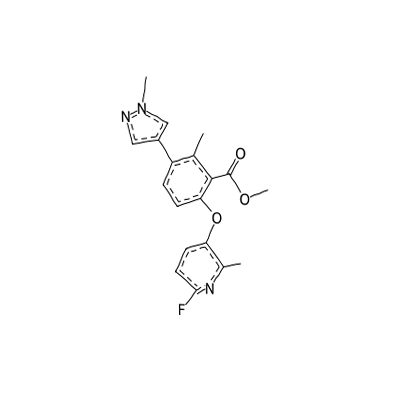 COC(=O)c1c(Oc2ccc(F)nc2C)ccc(-c2cnn(C)c2)c1C